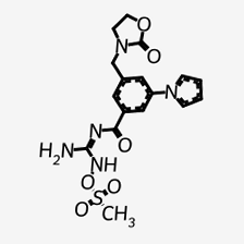 CS(=O)(=O)ONC(N)=NC(=O)c1cc(CN2CCOC2=O)cc(-n2cccc2)c1